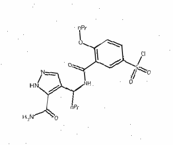 CCCOc1ccc(S(=O)(=O)Cl)cc1C(=O)NC(CCC)c1cn[nH]c1C(N)=O